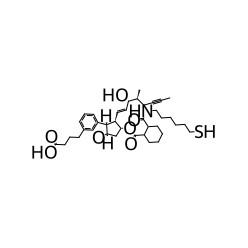 CC#CC[C@H](C)[C@H](O)/C=C/[C@@H]1[C@H]2c3cccc(CCCC(=O)O)c3O[C@H]2C[C@H]1OC(=O)C1CCCCC1C(=O)NCCCCCCS